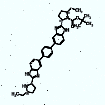 CC[C@@H]1CCC(c2nc3cc(-c4ccc(-c5ccc6[nH]c([C@@H]7CC[C@@H](CC)N7C(=O)OC(C)(C)C)nc6c5)cc4)ccc3[nH]2)N1